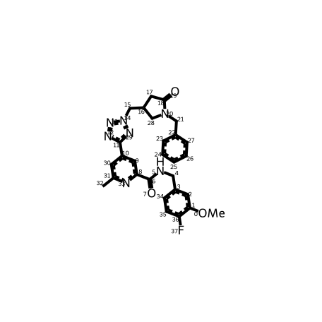 COc1cc(CNC(=O)c2cc(-c3nnn(CC4CC(=O)N(Cc5ccccc5)C4)n3)cc(C)n2)ccc1F